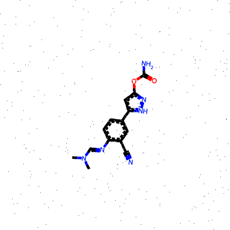 CN(C)C=Nc1ccc(-c2cc(OC(N)=O)n[nH]2)cc1C#N